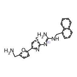 NCc1ccc(-c2csc(/N=C(\N)NCc3cccc4ccccc34)n2)o1